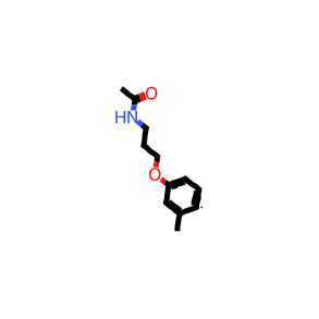 CC(=O)NCCCOc1cc[c]c(C)c1